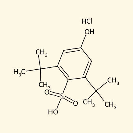 CC(C)(C)c1cc(O)cc(C(C)(C)C)c1S(=O)(=O)O.Cl